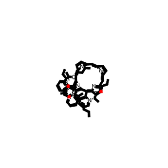 CCCCOC(C)[n+]1ccccc1-c1c(-c2cccc[n+]2C(C)OCCCC)c2c(-c3cccc[n+]3C(C)OCCCC)c3nc(cc4ccc(cc5nc(cc1n2-c1cccc[n+]1C(C)OCCCC)C=C5)[nH]4)C=C3